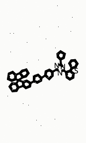 c1ccc(-c2nc(-c3ccc(-c4ccc(-c5ccc6c(c5)C5(c7ccccc7-c7ccccc75)c5ccccc5-6)cc4)cc3)nc(-c3cccc4sc5ccccc5c34)n2)cc1